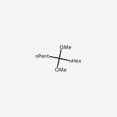 CCCCCCC(CCCCC)(OC)OC